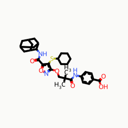 CC(C)(COc1noc(C(=O)NC2C3CC4CC(C3)CC2C4)c1SC1CCCCC1)C(=O)Nc1ccc(C(=O)O)cc1